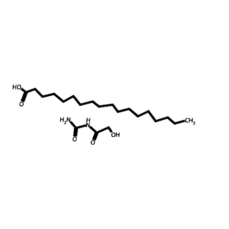 CCCCCCCCCCCCCCCCCC(=O)O.NC(=O)NC(=O)CO